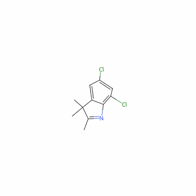 CC1=Nc2c(Cl)cc(Cl)cc2C1(C)C